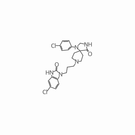 O=C1NCN(c2ccc(Cl)cc2)C12CCN(CCCn1c(=O)[nH]c3cc(Cl)ccc31)CC2